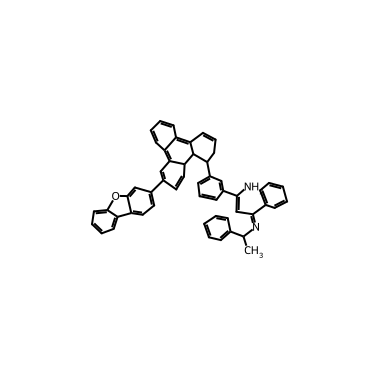 CC(/N=C(\C=C(/N)c1cccc(C2CC=CC3=c4ccccc4=C4C=C(c5ccc6c(c5)oc5ccccc56)C=CC4C32)c1)c1ccccc1)c1ccccc1